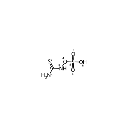 NC(=S)NOS(=O)(=O)O